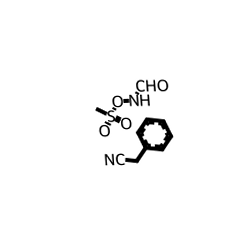 CS(=O)(=O)ONC=O.N#CCc1ccccc1